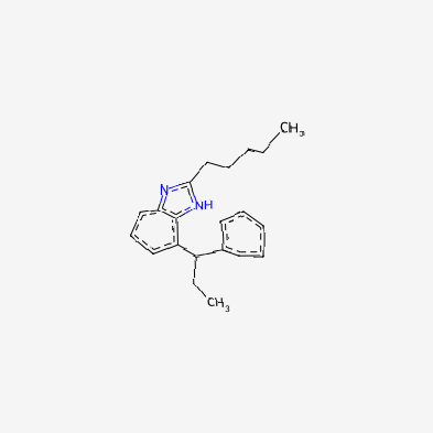 CCCCCc1nc2cccc(C(CC)c3ccccc3)c2[nH]1